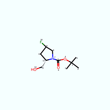 CC(C)(C)OC(=O)N1CC(F)C[C@H]1CO